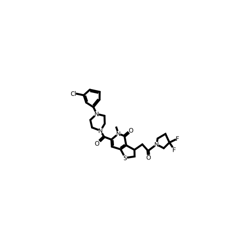 Cn1c(C(=O)N2CCN(c3cccc(Cl)c3)CC2)cc2c(c1=O)C(CC(=O)N1CCC(F)(F)C1)CS2